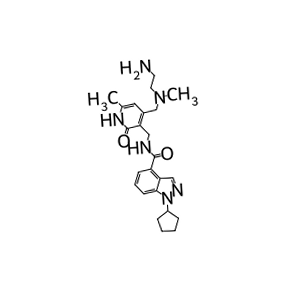 Cc1cc(CN(C)CCN)c(CNC(=O)c2cccc3c2cnn3C2CCCC2)c(=O)[nH]1